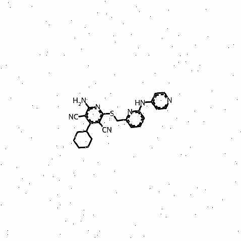 N#Cc1c(N)nc(SCc2cccc(Nc3ccncc3)n2)c(C#N)c1C1CCCCC1